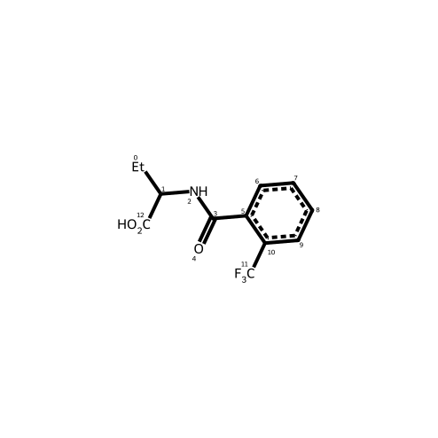 CCC(NC(=O)c1ccccc1C(F)(F)F)C(=O)O